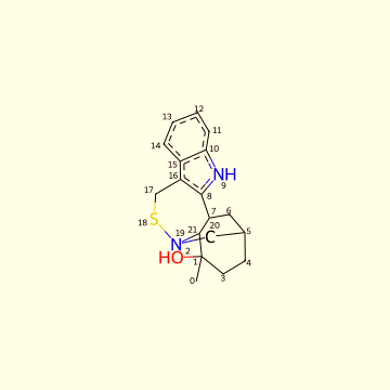 CC1(O)CCC2CC3c4[nH]c5ccccc5c4CSN(C2)C31